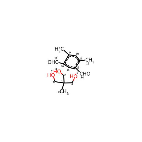 CC(CO)(CO)CO.Cc1cc(C)c(C=O)cc1C=O